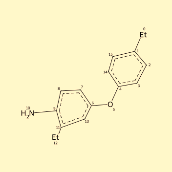 CCc1ccc(Oc2ccc(N)c(CC)c2)cc1